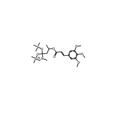 COc1cc(/C=C/C(=O)OC(C)CC(O[Si](C)(C)C)(O[Si](C)(C)C)[SiH2]C)cc(OC)c1OC